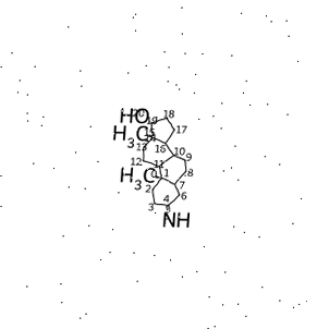 C[C@]12CCC(=N)CC1CCC1C2CC[C@@]2(C)C1CC[C@H]2O